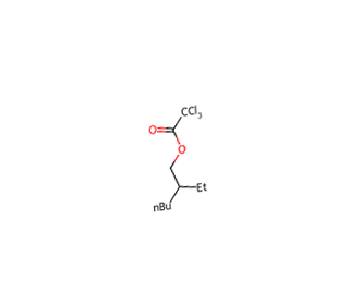 CCCCC(CC)COC(=O)C(Cl)(Cl)Cl